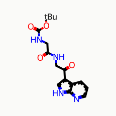 CC(C)(C)OC(=O)NCC(=O)NCC(=O)c1c[nH]c2ncccc12